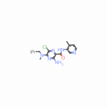 Cc1ccncc1NC(=O)c1nc(Cl)c(N(C)CC(C)C)nc1N